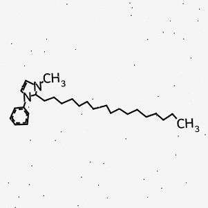 CCCCCCCCCCCCCCCCCC1N(C)C=CN1c1ccccc1